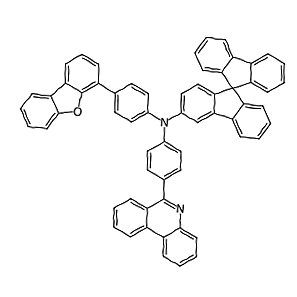 c1ccc2c(c1)-c1ccccc1C21c2ccccc2-c2cc(N(c3ccc(-c4nc5ccccc5c5ccccc45)cc3)c3ccc(-c4cccc5c4oc4ccccc45)cc3)ccc21